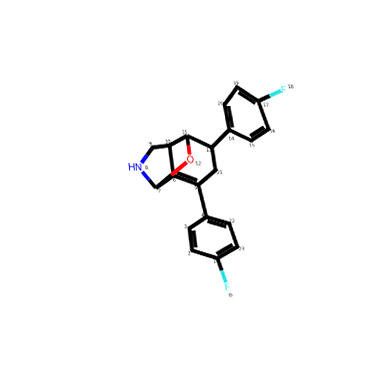 Fc1ccc(C2=C3C4NCC3C(O4)C(c3ccc(F)cc3)C2)cc1